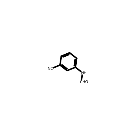 N#Cc1cccc(NC=O)c1